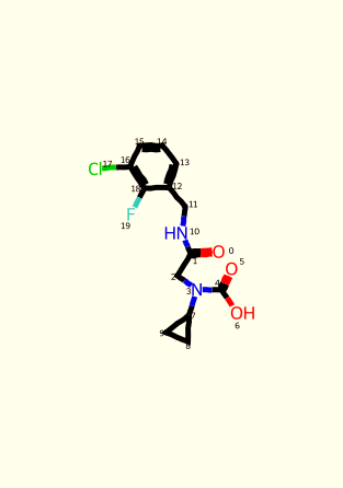 O=C(CN(C(=O)O)C1CC1)NCc1cccc(Cl)c1F